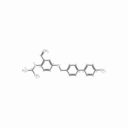 C=Cc1cc(OCc2ccc(-c3ccc(C)cc3)cc2)ccc1OC(C)C